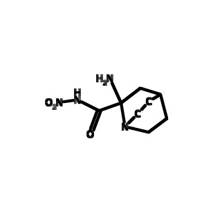 NC1(C(=O)N[N+](=O)[O-])CC2CCN1CC2